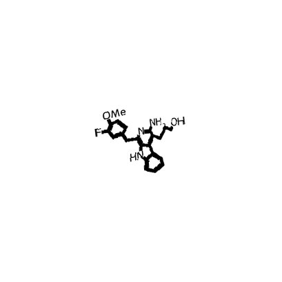 COc1ccc(Cc2nc(N)c(CCCO)c3c2[nH]c2ccccc23)cc1F